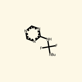 CCCCC(F)(F)Nc1ncncn1